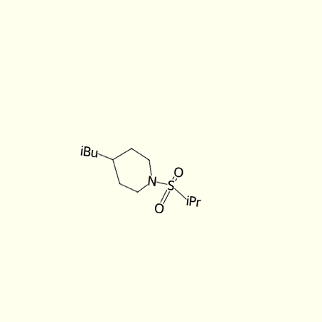 CCC(C)C1CCN(S(=O)(=O)C(C)C)CC1